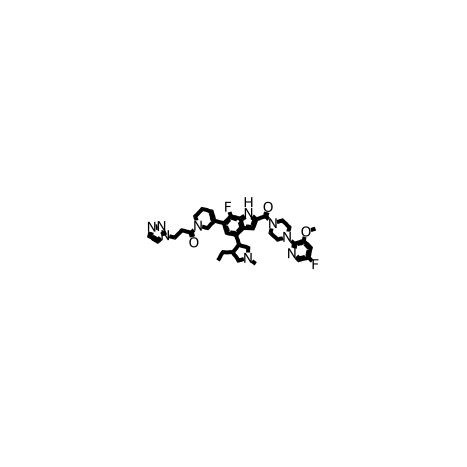 CCC1CN(C)CC1c1cc(C2=CCCN(C(=O)CCn3ccnn3)C2)c(F)c2[nH]c(C(=O)N3CCN(c4ncc(F)cc4OC)CC3)cc12